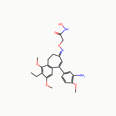 CCc1c(OC)cc2c(c1OC)CC/C(=N\OCC(=O)NO)C=C2c1ccc(OC)c(N)c1